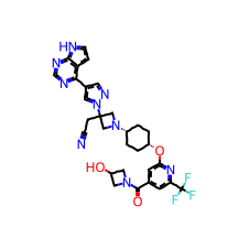 N#CCC1(n2cc(-c3ncnc4[nH]ccc34)cn2)CN([C@H]2CC[C@@H](Oc3cc(C(=O)N4CC(O)C4)cc(C(F)(F)F)n3)CC2)C1